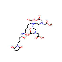 O=C(O)CN(CCN(CCN(CC(=O)O)CC(=O)O)C(CCCCNC(=O)CCCN1C(=O)C=CC1=O)C(=O)O)CC(=O)O